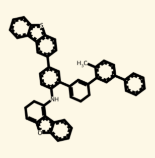 Cc1ccc(-c2ccccc2)cc1C1=CC(c2cc(-c3ccc4sc5ccccc5c4c3)ccc2NC2=c3c(oc4ccccc34)=CCC2)=CCC1